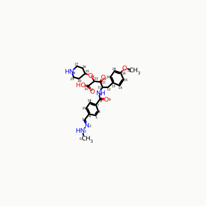 CNN=Cc1ccc(C(=O)NC(Cc2ccc(OC)cc2)C(=O)C(OC2CCNCC2)C(=O)O)cc1